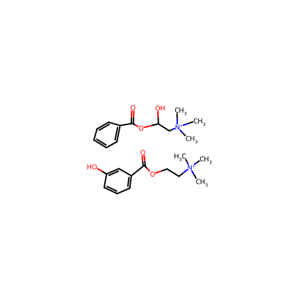 C[N+](C)(C)CC(O)OC(=O)c1ccccc1.C[N+](C)(C)CCOC(=O)c1cccc(O)c1